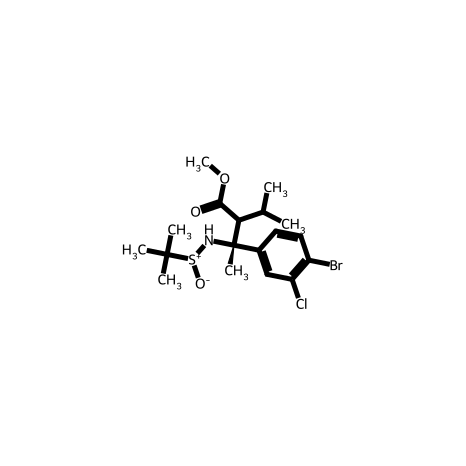 COC(=O)C(C(C)C)[C@@](C)(N[S+]([O-])C(C)(C)C)c1ccc(Br)c(Cl)c1